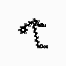 CCCCCCCCCCCCCCCCCCCc1n(CCCC)cc[n+]1CCCc1ccccc1